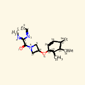 CC/C=N\C(=N/C)C(=O)N1CC(OC2=C(C)C(OC)C(CC)C=C2)C1